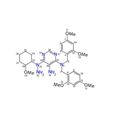 COc1ccc(CN(Cc2ccc(OC)cc2OC)c2ncnc(N(N)C3CCCCC3OC)c2N)c(OC)c1